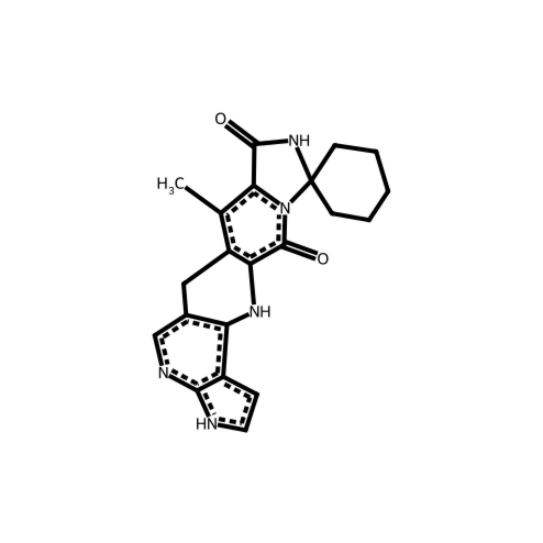 Cc1c2c(c(=O)n3c1C(=O)NC31CCCCC1)Nc1c(cnc3[nH]ccc13)C2